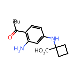 CCC(C)C(=O)c1ccc(NC2(C(=O)O)CCC2)cc1N